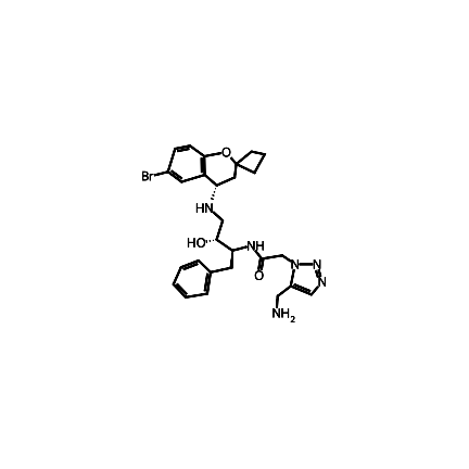 NCc1cnnn1CC(=O)N[C@@H](Cc1ccccc1)[C@H](O)CN[C@H]1CC2(CCC2)Oc2ccc(Br)cc21